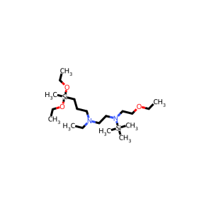 CCOCCN(CCN(CC)CCC[Si](C)(OCC)OCC)[Si](C)(C)C